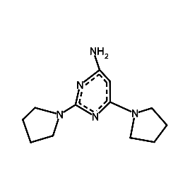 Nc1cc(N2CCCC2)nc(N2CCCC2)n1